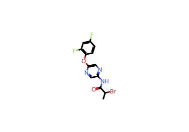 CC(Br)C(=O)Nc1cnc(Oc2ccc(F)cc2F)cn1